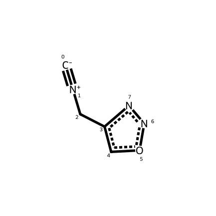 [C-]#[N+]Cc1conn1